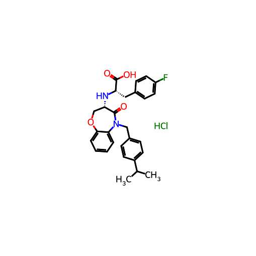 CC(C)c1ccc(CN2C(=O)[C@@H](N[C@@H](Cc3ccc(F)cc3)C(=O)O)COc3ccccc32)cc1.Cl